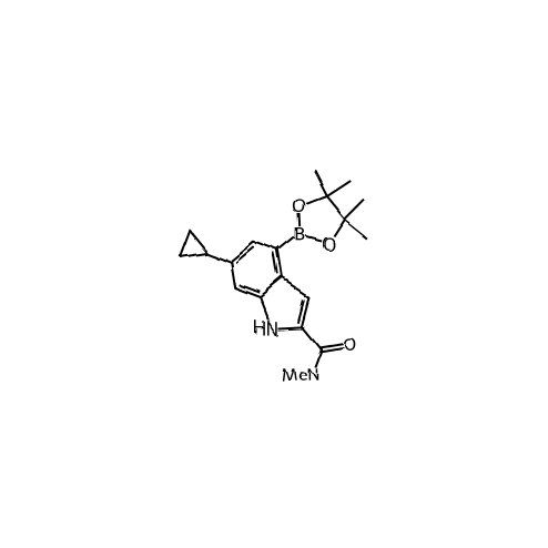 CNC(=O)c1cc2c(B3OC(C)(C)C(C)(C)O3)cc(C3CC3)cc2[nH]1